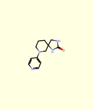 O=C1NCC2(CCCN(c3ccncc3)C2)N1